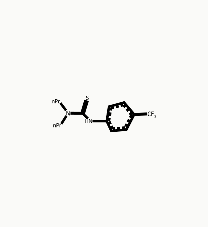 CCCN(CCC)C(=S)Nc1ccc(C(F)(F)F)cc1